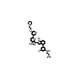 CN(C)CCNc1cc(F)cc(-c2cccc3[nH]c(-c4n[nH]c5ccc(-c6cncc(OCCN7CCCC7)c6)nc45)cc23)c1